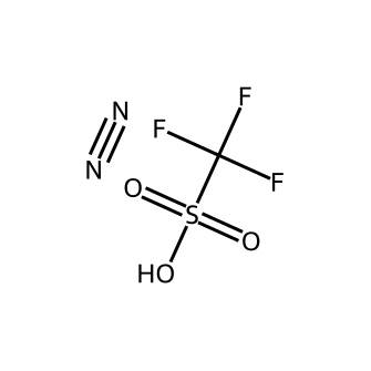 N#N.O=S(=O)(O)C(F)(F)F